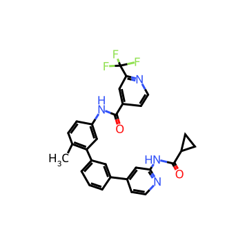 Cc1ccc(NC(=O)c2ccnc(C(F)(F)F)c2)cc1-c1cccc(-c2ccnc(NC(=O)C3CC3)c2)c1